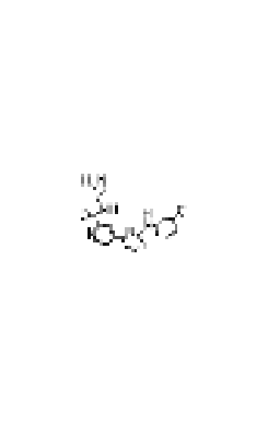 NCCNC(=O)c1cc(-c2ccnc(Nc3cccc(Cl)c3)n2)ccn1